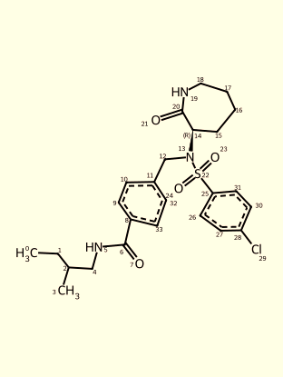 CCC(C)CNC(=O)c1ccc(CN([C@@H]2CCCCNC2=O)S(=O)(=O)c2ccc(Cl)cc2)cc1